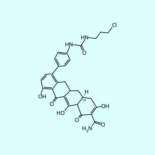 NC(=O)C1=C(O)C[C@@H]2CC3Cc4c(-c5ccc(NC(=O)NCCCCl)cc5)ccc(O)c4C(=O)C3=C(O)C2C1=O